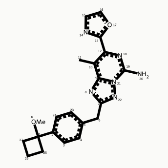 COC1(c2ccc(Cc3nc4c(C)c(-c5ncco5)nc(N)n4n3)cc2)CCC1